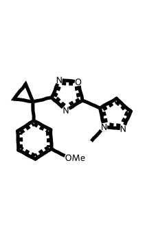 COc1cccc(C2(c3noc(-c4ccnn4C)n3)CC2)c1